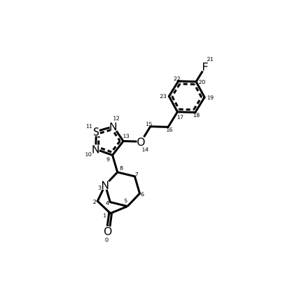 O=C1CN2CC1CCC2c1nsnc1OCCc1ccc(F)cc1